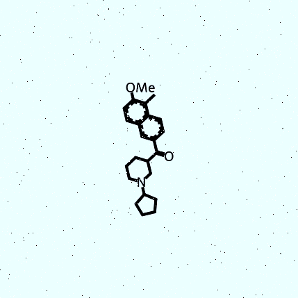 COc1ccc2cc(C(=O)C3CCCN(C4CCCC4)C3)ccc2c1C